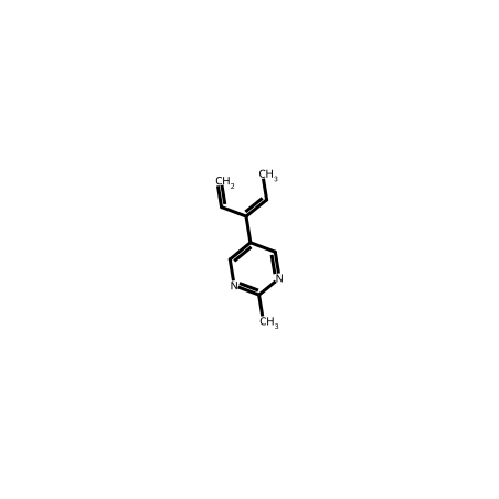 C=C/C(=C\C)c1cnc(C)nc1